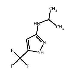 CC(C)Nc1cc(C(F)(F)F)[nH]n1